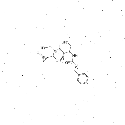 CC(C)CC(NC(=O)OCc1ccccc1)C(=O)N[C@@H](CC(C)C)C(O)c1cc1=O